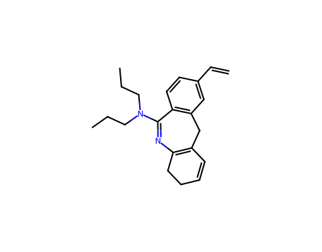 C=Cc1ccc2c(c1)CC1=C(CCC=C1)N=C2N(CCC)CCC